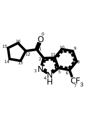 O=C(c1n[nH]c2c(C(F)(F)F)cccc12)C1CCCC1